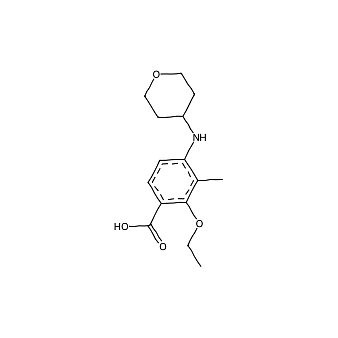 CCOc1c(C(=O)O)ccc(NC2CCOCC2)c1C